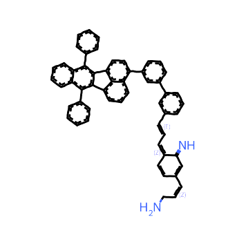 N=C1C=C(/C=C\CN)C=C/C1=C/C=C/c1cccc(-c2cccc(-c3ccc4c5c(cccc35)-c3c-4c(-c4ccccc4)c4ccccc4c3-c3ccccc3)c2)c1